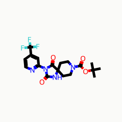 CC(C)(C)OC(=O)N1CCC2(CC1)NC(=O)N(c1cc(C(F)(F)F)ccn1)C2=O